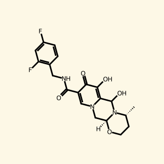 C[C@@H]1CCO[C@H]2Cn3cc(C(=O)NCc4ccc(F)cc4F)c(=O)c(O)c3C(O)N12